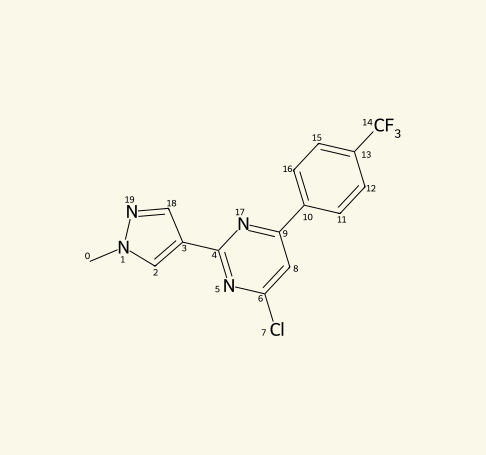 Cn1cc(-c2nc(Cl)cc(-c3ccc(C(F)(F)F)cc3)n2)cn1